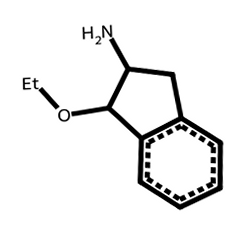 CCOC1c2ccccc2CC1N